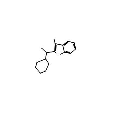 Cc1c(C(Cl)C2CCCCC2)oc2ccccc12